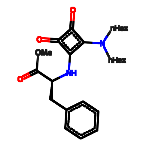 CCCCCCN(CCCCCC)c1c(N[C@@H](Cc2ccccc2)C(=O)OC)c(=O)c1=O